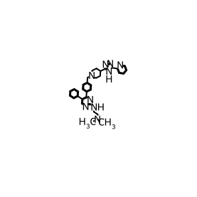 CN(C)CCNc1ncc(-c2ccccc2)c(-c2ccc(CN3CCC(c4nnc(-c5ccccn5)[nH]4)CC3)cc2)n1